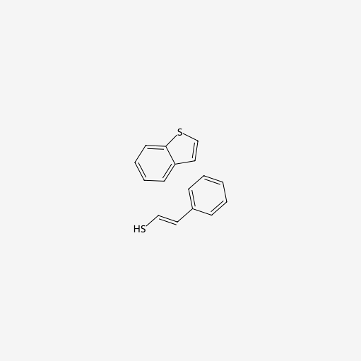 SC=Cc1ccccc1.c1ccc2sccc2c1